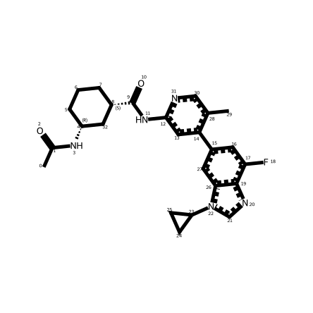 CC(=O)N[C@@H]1CCC[C@H](C(=O)Nc2cc(-c3cc(F)c4ncn(C5CC5)c4c3)c(C)cn2)C1